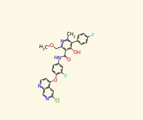 COCc1nc(C)c(-c2ccc(F)cc2)c(O)c1C(=O)Nc1ccc(Oc2ccnc3cnc(Cl)cc23)c(F)c1